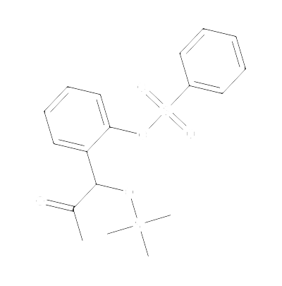 CC(=O)C(O[Si](C)(C)C)c1ccccc1OS(=O)(=O)c1ccccc1